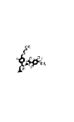 COCOCc1ccc([C@H](CC2CC2)Nc2nc(-c3cc(C)c(OC)cc3Cl)c(C)s2)cc1F